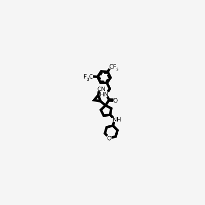 N#CC1CC1C1(C(=O)NCc2cc(C(F)(F)F)cc(C(F)(F)F)c2)CCC(NC2CCOCC2)C1